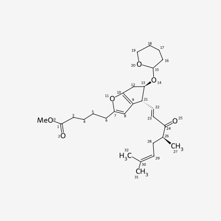 COC(=O)CCCCc1cc2c(o1)C[C@@H](OC1CCCCO1)[C@@H]2C=CC(=O)[C@@H](C)CC=C(C)C